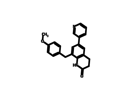 COc1ccc(Cc2cc(-c3cccnc3)cc3c2NC(=O)CC3)cc1